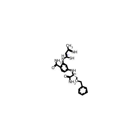 CC(=N)/C=C(\S)Nc1cc(N[C@H](COCc2ccccc2)C(N)=O)ccc1C(N)=O